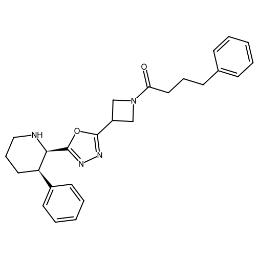 O=C(CCCc1ccccc1)N1CC(c2nnc([C@@H]3NCCC[C@@H]3c3ccccc3)o2)C1